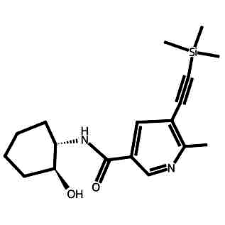 Cc1ncc(C(=O)N[C@H]2CCCC[C@@H]2O)cc1C#C[Si](C)(C)C